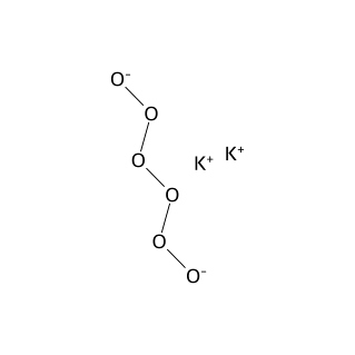 [K+].[K+].[O-]OOOO[O-]